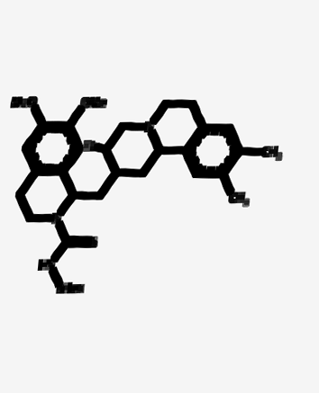 CCCCCCNC(=S)N1CCc2cc(OC)c(OC)cc2C1CC1CC2c3cc(C)c(C)cc3CCN2CC1CC